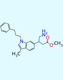 COC(=O)CC(CN)c1ccc2c(C)cn(CCCc3ccccc3)c2c1